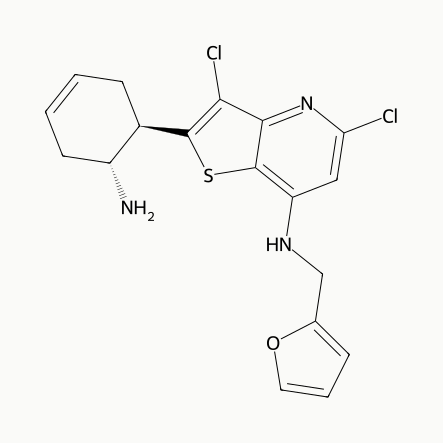 N[C@@H]1CC=CC[C@H]1c1sc2c(NCc3ccco3)cc(Cl)nc2c1Cl